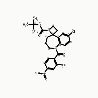 Cc1cc([N+](=O)[O-])ccc1C(=O)N1CCCC2(CCN2C(=O)OC(C)(C)C)c2cc(Cl)ccc21